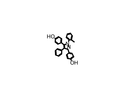 Cc1ccccc1-n1nc(-c2ccc(O)cc2)c(-c2ccccc2)c1-c1ccc(O)cc1